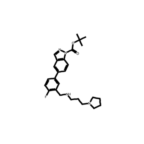 CC(C)(C)OC(=O)n1ncc2cc(-c3ccc(F)c(CNCCCN4CCCC4)c3)ccc21